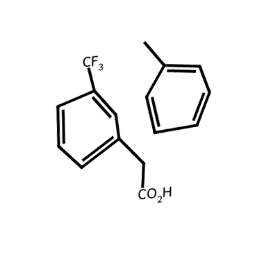 Cc1ccccc1.O=C(O)Cc1cccc(C(F)(F)F)c1